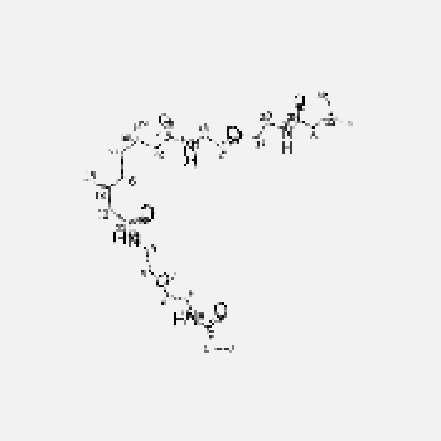 CCC(=O)NCCOCCNC(=O)CC(C)CCC(C)CC(=O)NCCOCCNC(=O)CC(C)C